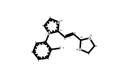 Fc1ccccc1-n1ccnc1/C=C/C1OCCO1